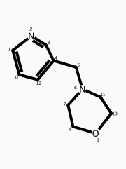 c1cncc(CN2CCOCC2)c1